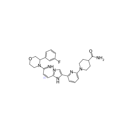 N=C(/C=C\c1ncc(-c2cccc(N3CCC(C(N)=O)CC3)n2)[nH]1)N1CCOCC1c1cccc(F)c1